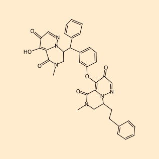 CN1CC(CCc2ccccc2)n2ncc(=O)c(Oc3cccc(C(c4ccccc4)C4CN(C)C(=O)c5c(O)c(=O)cnn54)c3)c2C1=O